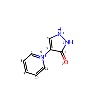 O=c1[nH][nH]cc1-[n+]1ccccc1